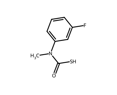 CN(C(=O)S)c1cccc(F)c1